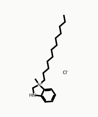 CCCCCCCCCCCC[N+]1(C)CNc2ccccc21.[Cl-]